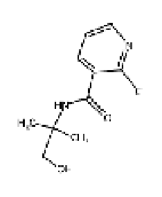 CC(C)(CO)NC(=O)c1cccnc1Cl